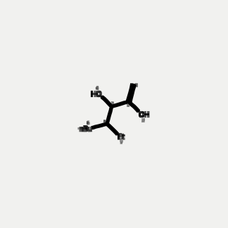 C=C(O)C(O)C([CH]CCC)CC